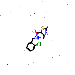 CC1N=C(I)SC1C(=O)NCc1ccccc1Cl